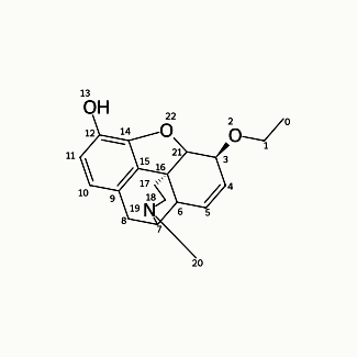 CCO[C@H]1C=CC2C3Cc4ccc(O)c5c4[C@@]2(CCN3C)C1O5